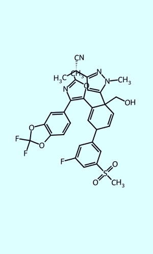 Cc1nc(-c2ccc3c(c2)OC(F)(F)O3)c(C2=CC(c3cc(F)cc(S(C)(=O)=O)c3)C=CC2(CO)c2cc([C@H](C)C#N)nn2C)o1